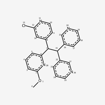 COc1cccc(C(c2ccnc(Cl)c2)C(c2cccnc2)c2cccnc2)n1